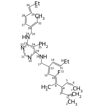 C=C(C)/C=C(\C=C/C)C(/C)=C(F)/C=C(\C=C\CC)CNc1ncnc(NCC(/C=C\C=C\CC)=C/C)c1P